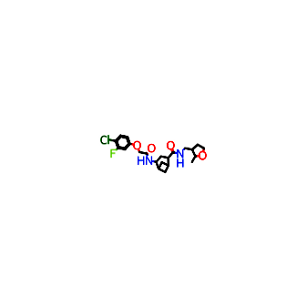 CC1OCCC1CNC(=O)C1CC(NC(=O)COc2ccc(Cl)c(F)c2)C2CC1C2